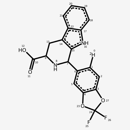 [2H]c1cc2c(cc1C1NC(C(=O)O)Cc3c1[nH]c1ccccc31)OC(F)(F)O2